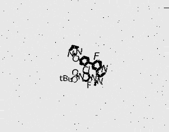 Cc1nc2cnc3cc(F)c(-c4ccc(Oc5ncccn5)cc4Cl)cc3c2n1C1CCN(C(=O)OC(C)(C)C)CC1F